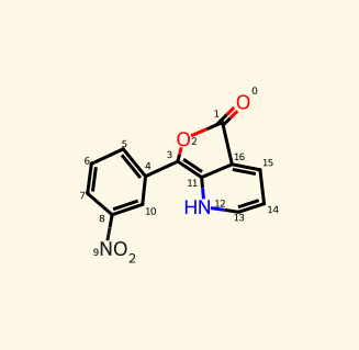 O=c1oc(-c2cccc([N+](=O)[O-])c2)c2[nH]cccc1-2